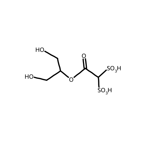 O=C(OC(CO)CO)C(S(=O)(=O)O)S(=O)(=O)O